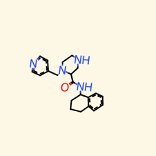 O=C(NC1CCCc2ccccc21)C1CNCCN1Cc1ccncc1